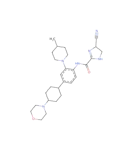 CC1CCN(c2cc(C3CCC(N4CCOCC4)CC3)ccc2NC(=O)C2=NC(C#N)CN2)CC1